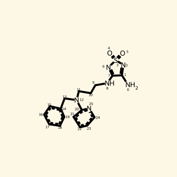 NC1=NS(=O)(=O)N=C1NCCCN(Cc1ccccc1)c1ccccn1